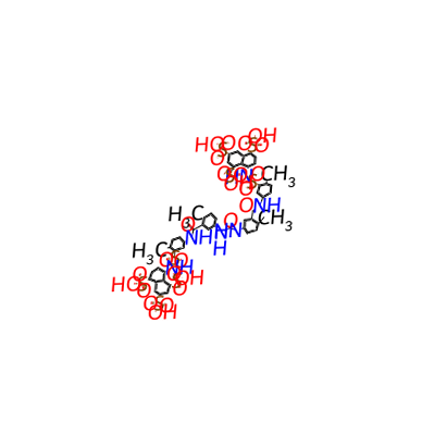 Cc1ccc(NC(=O)Nc2ccc(C)c(C(=O)Nc3ccc(C)c(S(=O)(=O)Nc4ccc(S(=O)(=O)O)c5cc(S(=O)(=O)O)cc(S(=O)(=O)O)c45)c3)c2)cc1C(=O)Nc1ccc(C)c(S(=O)(=O)Nc2ccc(S(=O)(=O)O)c3cc(S(=O)(=O)O)cc(S(=O)(=O)O)c23)c1